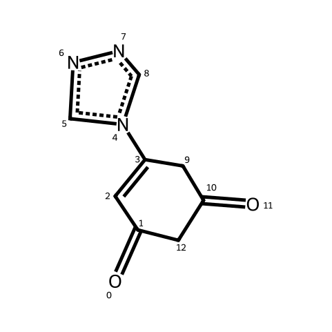 O=C1C=C(n2cnnc2)CC(=O)C1